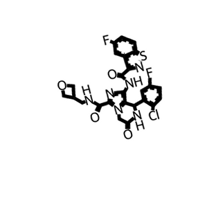 O=C1Cn2c(C(=O)NCC3COC3)nc(NC(=O)c3nsc4ccc(F)cc34)c2C(c2cc(F)ccc2Cl)N1